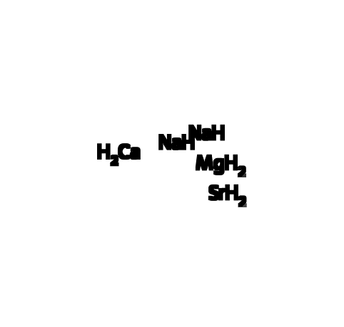 [CaH2].[MgH2].[NaH].[NaH].[SrH2]